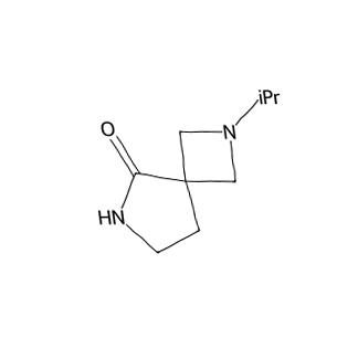 CC(C)N1CC2(CCNC2=O)C1